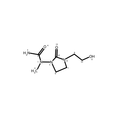 CN(C(N)=O)N1CCN(CCO)C1=O